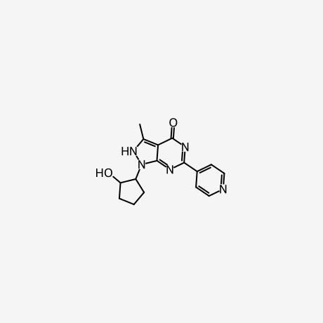 Cc1[nH]n(C2CCCC2O)c2nc(-c3ccncc3)nc(=O)c1-2